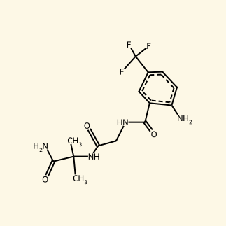 CC(C)(NC(=O)CNC(=O)c1cc(C(F)(F)F)ccc1N)C(N)=O